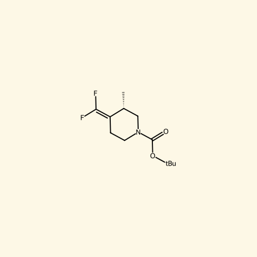 C[C@@H]1CN(C(=O)OC(C)(C)C)CCC1=C(F)F